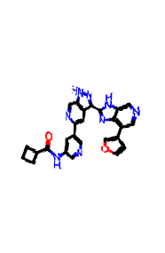 O=C(Nc1cncc(-c2cc3c(-c4nc5c(-c6ccoc6)cncc5[nH]4)n[nH]c3cn2)c1)C1CCC1